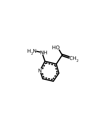 C=C(O)c1cccnc1NN